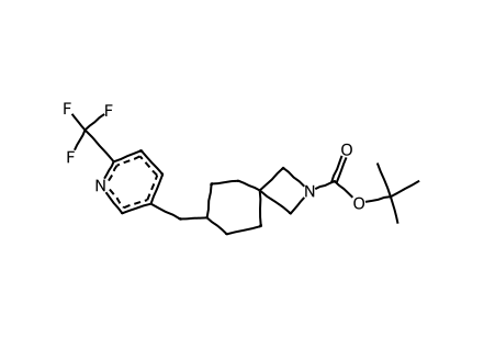 CC(C)(C)OC(=O)N1CC2(CCC(Cc3ccc(C(F)(F)F)nc3)CC2)C1